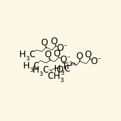 CC(C)C[O][Ti+3].CCCC(=O)CC(=O)[O-].CCCC(=O)CC(=O)[O-].CCCC(=O)CC(=O)[O-]